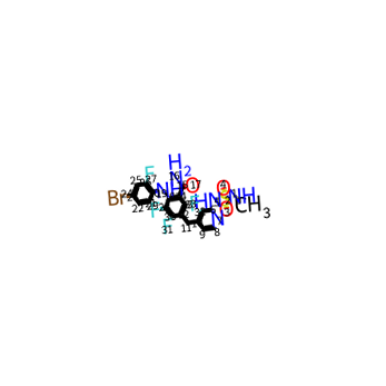 CNS(=O)(=O)Nc1nccc(Cc2cc(C(N)=O)c(Nc3ccc(Br)cc3F)c(F)c2F)c1F